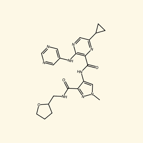 Cn1cc(NC(=O)c2nc(C3CC3)cnc2Nc2cncnc2)c(C(=O)NCC2CCCO2)n1